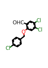 O=Cc1cc(Cl)c(Cl)cc1OCc1ccc(Cl)cc1